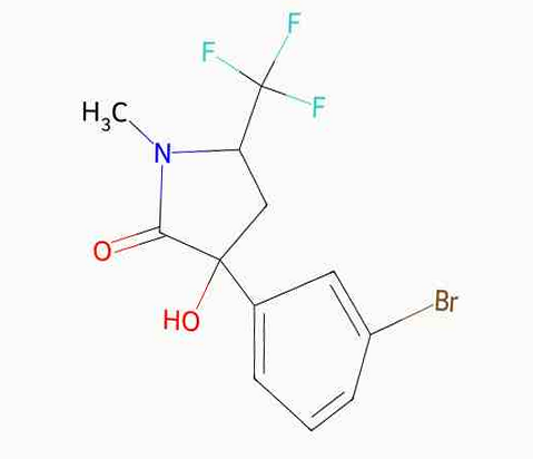 CN1C(=O)C(O)(c2cccc(Br)c2)CC1C(F)(F)F